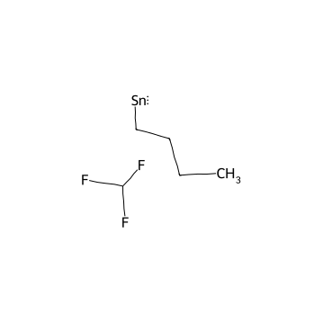 CCC[CH2][Sn].FC(F)F